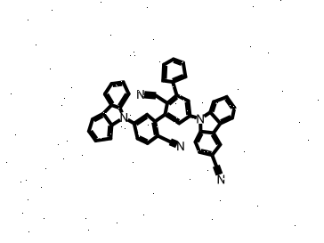 N#Cc1ccc2c(c1)c1ccccc1n2-c1cc(-c2ccccc2)c(C#N)c(-c2cc(-n3c4ccccc4c4ccccc43)ccc2C#N)c1